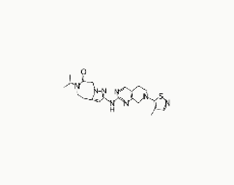 Cc1cnsc1N1CCc2cnc(Nc3cc4n(n3)CC(=O)N(C(C)C)CC4)nc2C1